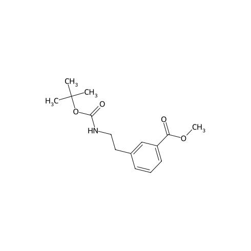 COC(=O)c1cccc(CCNC(=O)OC(C)(C)C)c1